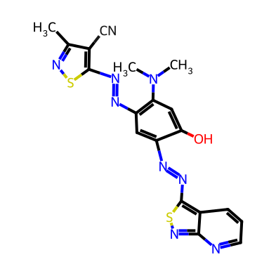 Cc1nsc(/N=N/c2cc(/N=N/c3snc4ncccc34)c(O)cc2N(C)C)c1C#N